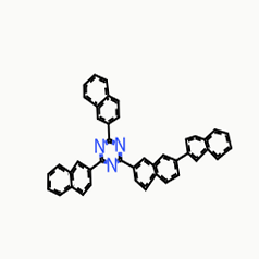 c1ccc2cc(-c3ccc4ccc(-c5nc(-c6ccc7ccccc7c6)nc(-c6ccc7ccccc7c6)n5)cc4c3)ccc2c1